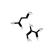 C=CCC(=O)O.CC=C(C)C(=O)O